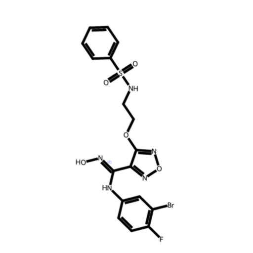 O=S(=O)(NCCOc1nonc1/C(=N/O)Nc1ccc(F)c(Br)c1)c1ccccc1